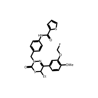 CCC1SC(=O)N(Cc2ccc(NC(=O)c3cccs3)cc2)N=C1c1ccc(OC)c(OCF)c1